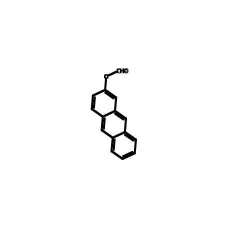 O=COc1ccc2cc3ccccc3cc2c1